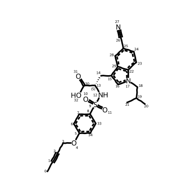 CC#CCOc1ccc(S(=O)(=O)N[C@@H](Cc2cn(CC(C)C)c3ccc(C#N)cc23)C(=O)O)cc1